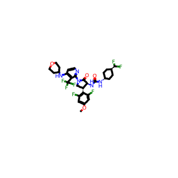 COc1cc(F)c([C@@H]2CN(c3nccc(NC4CCOCC4)c3C(F)(F)F)C(=O)[C@H]2NC(=O)N[C@H]2CC[C@H](C(F)F)CC2)c(F)c1